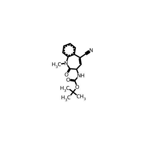 CN1C(=O)C(NC(=O)OC(C)(C)C)C=C(C#N)c2ccccc21